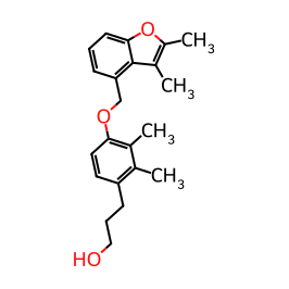 Cc1oc2cccc(COc3ccc(CCCO)c(C)c3C)c2c1C